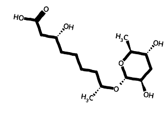 C[C@H](CCCC[C@@H](O)CC(=O)O)O[C@@H]1O[C@@H](C)[C@H](O)C[C@H]1O